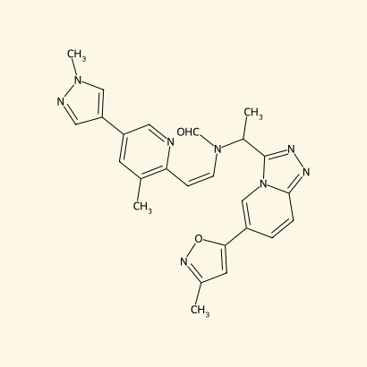 Cc1cc(-c2ccc3nnc(C(C)N(C=O)/C=C\c4ncc(-c5cnn(C)c5)cc4C)n3c2)on1